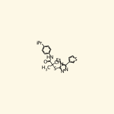 CCn1c(SC(C)(C)C(=O)Nc2ccc(C(C)C)cc2)nnc1-c1ccsc1